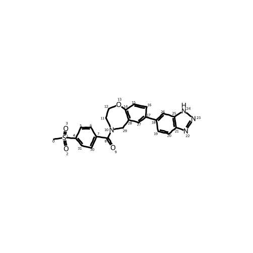 CS(=O)(=O)c1ccc(C(=O)N2CCOc3ccc(-c4ccc5nn[nH]c5c4)cc3C2)cc1